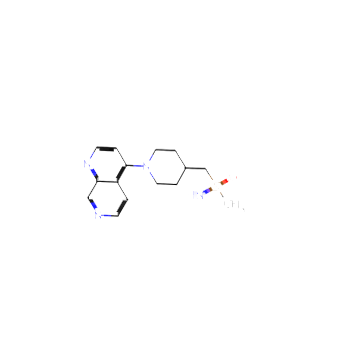 CS(=N)(=O)CC1CCN(c2ccnc3cnccc23)CC1